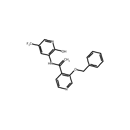 C=C(Nc1cc(C(F)(F)F)cnc1O)c1ccncc1OCc1ccccc1